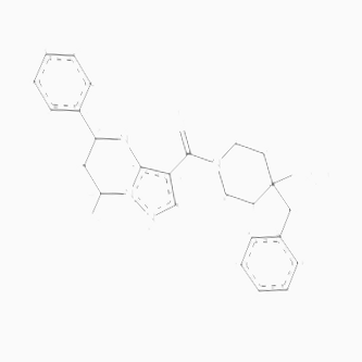 CCOC(=O)C1(Cc2ccccc2)CCN(C(=O)c2cnn3c2NC(c2ccccc2)CC3C(F)(F)F)CC1